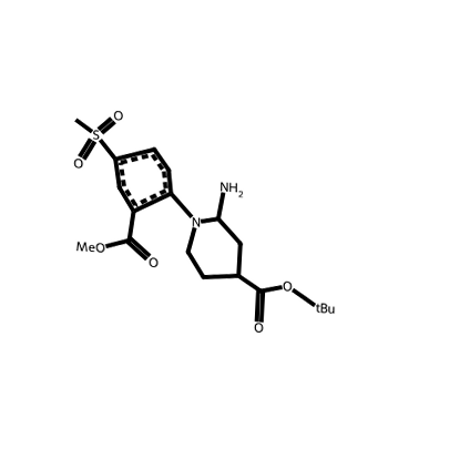 COC(=O)c1cc(S(C)(=O)=O)ccc1N1CCC(C(=O)OC(C)(C)C)CC1N